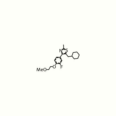 COCCOc1ccc(-c2nc(C)sc2CC2CCCCC2)cc1F